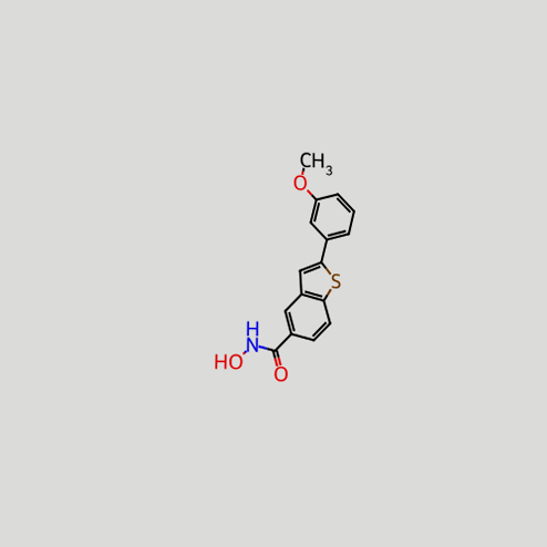 COc1cccc(-c2cc3cc(C(=O)NO)ccc3s2)c1